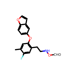 Cc1cc(Oc2ccc3occc3c2)c(CCNOC=O)cc1F